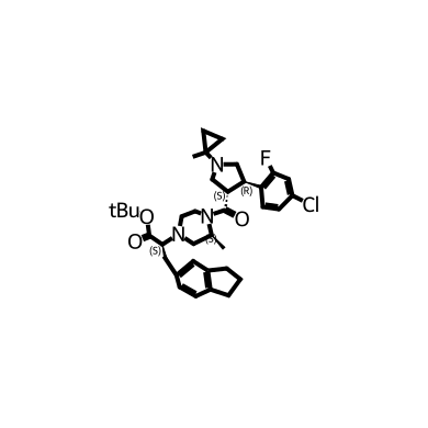 C[C@H]1CN([C@@H](Cc2ccc3c(c2)CCC3)C(=O)OC(C)(C)C)CCN1C(=O)[C@@H]1CN(C2(C)CC2)C[C@H]1c1ccc(Cl)cc1F